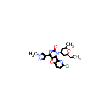 CC[C@H]1C[C@@H](n2c(=O)nc(-c3cnn(C)c3)c3oc4ccc(Cl)nc4c32)C[C@@H](C)O1